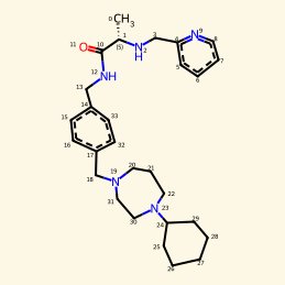 C[C@H](NCc1ccccn1)C(=O)NCc1ccc(CN2CCCN(C3CCCCC3)CC2)cc1